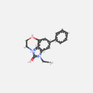 CC(=O)Cn1c(=O)n2c3c(cc(-c4ccccc4)cc31)OCC2